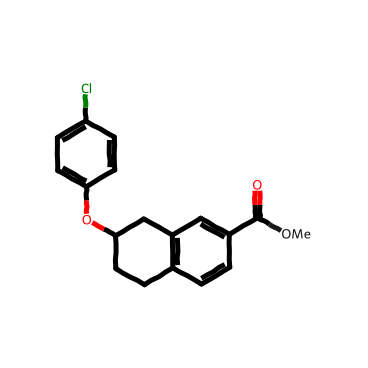 COC(=O)c1ccc2c(c1)CC(Oc1ccc(Cl)cc1)CC2